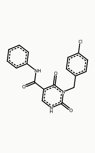 O=C(Nc1ccccc1)c1c[nH]c(=O)n(Cc2ccc(Cl)cc2)c1=O